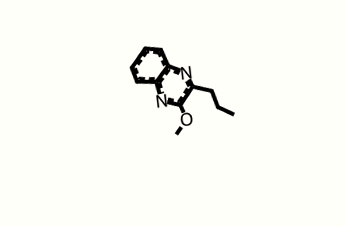 CCCc1nc2ccccc2nc1OC